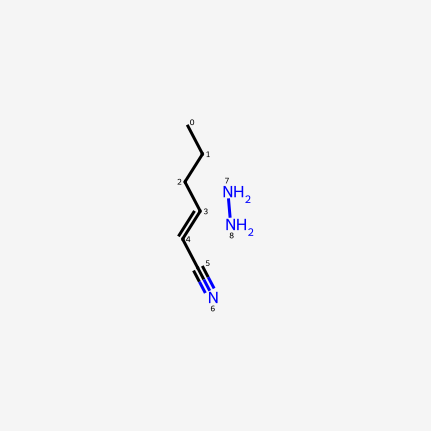 CCC/C=C/C#N.NN